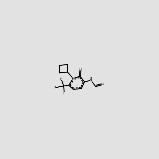 O=CNc1ccc(C(F)(F)F)n(C2CCC2)c1=O